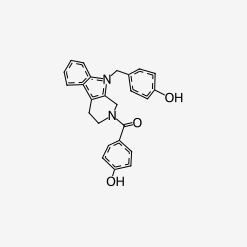 O=C(c1ccc(O)cc1)N1CCc2c(n(Cc3ccc(O)cc3)c3ccccc23)C1